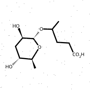 CC(CCC(=O)O)O[C@@H]1O[C@@H](C)[C@H](O)C[C@H]1O